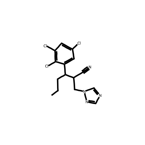 CCCC(c1cc(Cl)cc(Cl)c1Cl)C(C#N)Cn1cncn1